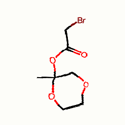 CC1(OC(=O)CBr)COCCO1